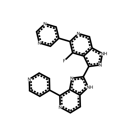 Fc1c(-c2cncnc2)ncc2[nH]nc(-c3nc4c(-c5ccncc5)nccc4[nH]3)c12